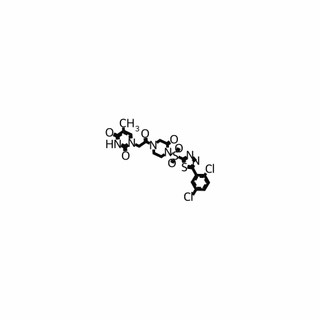 Cc1cn(CC(=O)N2CCN(S(=O)(=O)c3nnc(-c4cc(Cl)ccc4Cl)s3)C(=O)C2)c(=O)[nH]c1=O